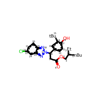 CCCCC(CC)COC(=O)CC(c1ccc(O)c(C(C)(C)C)c1)n1nc2ccc(Cl)cc2n1